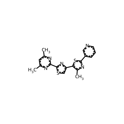 Cc1cc(C)nc(-c2nc(-c3sc(-c4cccnc4)nc3C)cs2)n1